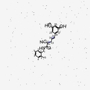 Cc1ccccc1CNC(=O)/C(C#N)=C/C=C/c1cc(O)cc(O)c1